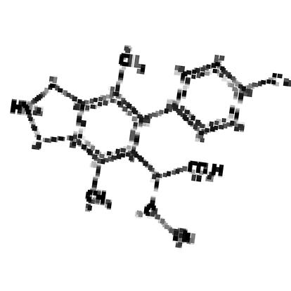 Cc1c2c(c(C)c(C(OC(C)(C)C)C(=O)O)c1-c1ccc(Cl)cc1)CNC2